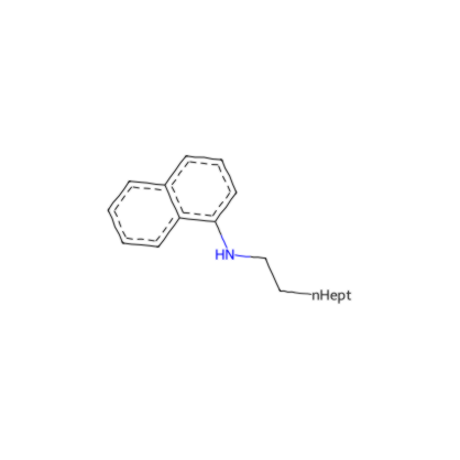 CCCCCCCCCNc1cccc2ccccc12